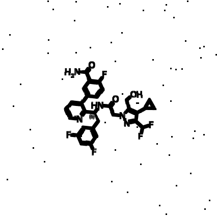 NC(=O)c1cc(-c2cccnc2[C@H](Cc2cc(F)cc(F)c2)NC(=O)Cn2nc(C(F)F)c(C3CC3)c2CO)ccc1F